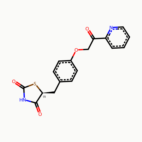 O=C1NC(=O)[C@H](Cc2ccc(OCC(=O)c3ccccn3)cc2)S1